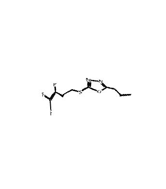 CCCc1nnc(SCCC(F)=C(F)F)o1